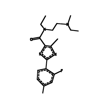 CCN(C)CCN(CC)C(=O)c1sc(-c2ccc(C)cc2F)nc1C